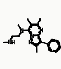 CNCCN(C)c1c(C)c(C)nc2c(-c3ccccc3)c(C)nn12